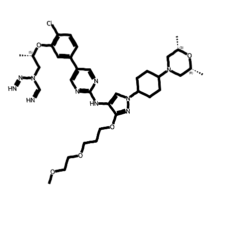 COCCOCCCOc1nn(C2CCC(N3C[C@@H](C)O[C@@H](C)C3)CC2)cc1Nc1ncc(-c2ccc(Cl)c(O[C@@H](C)CN(C=N)N=N)c2)cn1